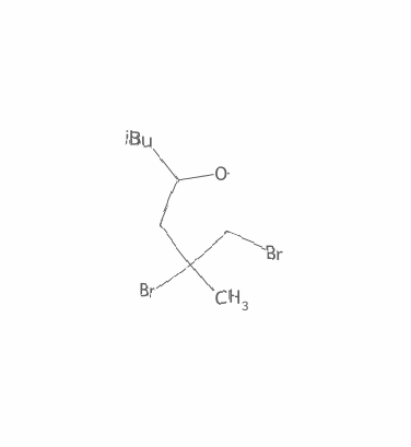 CCC(C)C([O])CC(C)(Br)CBr